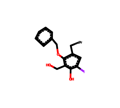 CC(C)Cc1cc(I)c(O)c(CO)c1OCc1ccccc1